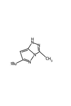 Cc1n[nH]c2cc(C(C)(C)C)nn12